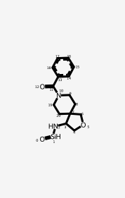 O=[SiH]NC1COCC12CCN(C(=O)c1ccccc1)CC2